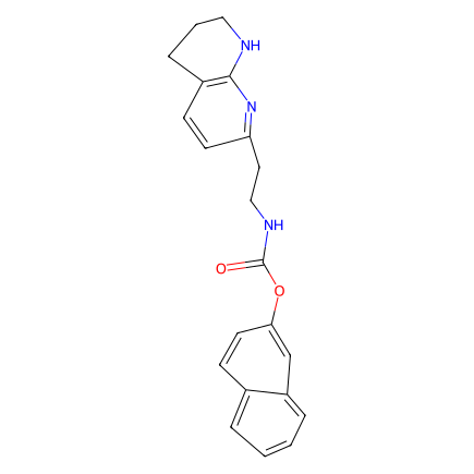 O=C(NCCc1ccc2c(n1)NCCC2)Oc1ccc2ccccc2c1